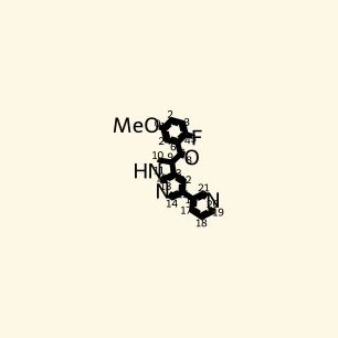 COc1ccc(F)c(C(=O)C2CNc3ncc(-c4cccnc4)cc32)c1